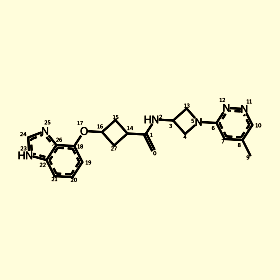 C=C(NC1CN(c2cc(C)cnn2)C1)C1CC(Oc2cccc3[nH]cnc23)C1